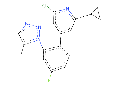 Cc1cnnn1-c1cc(F)ccc1-c1cc(Cl)nc(C2CC2)c1